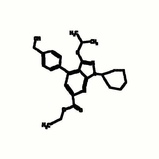 CCOC(=O)c1cc(-c2ccc(CO)cc2)c2c(OC(C)C)nn(C3CCCCC3)c2n1